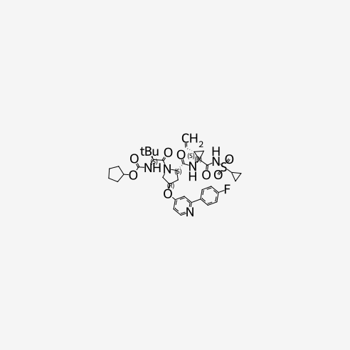 C=C[C@@H]1C[C@]1(NC(=O)[C@@H]1C[C@@H](Oc2ccnc(-c3ccc(F)cc3)c2)CN1C(=O)[C@@H](NC(=O)OC1CCCC1)C(C)(C)C)C(=O)NS(=O)(=O)C1CC1